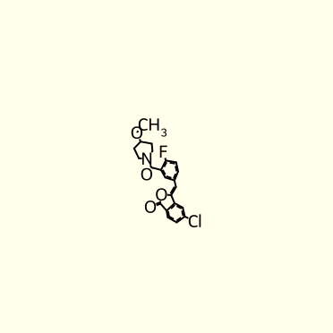 COC1CCN(C(=O)c2cc(/C=C3\OC(=O)c4ccc(Cl)cc43)ccc2F)CC1